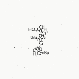 CCCCc1cccc([C@H](C)NC(=O)c2ccc3c(Cc4cccc(OC(C)(C)C(=O)O)c4)c(C)n(CC(C)(C)C)c3c2)c1